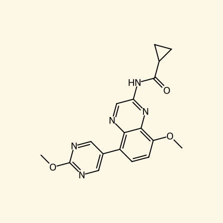 COc1ncc(-c2ccc(OC)c3nc(NC(=O)C4CC4)cnc23)cn1